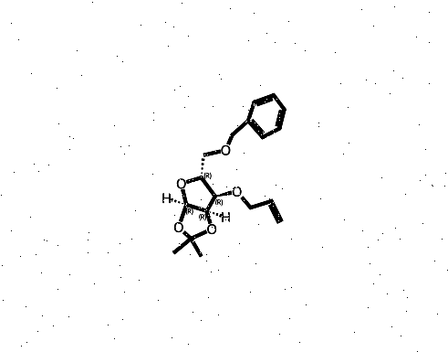 C=CCO[C@H]1[C@H]2OC(C)(C)O[C@H]2O[C@@H]1COCc1ccccc1